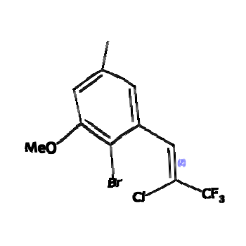 COc1cc(C)cc(/C=C(\Cl)C(F)(F)F)c1Br